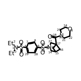 CCN(CC)S(=O)(=O)c1ccc(S(=O)(=O)N2CC3CC(C(=O)N4CCOCC4)(C3)C2)cc1